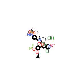 CN(CC(=O)OC(Cc1c(Cl)c[n+]([O-])cc1Cl)c1ccc(OC(F)F)c(OCC2CC2)c1)Cc1ccc(NS(C)(=O)=O)cc1.Cl